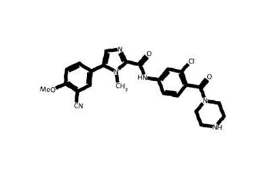 COc1ccc(-c2cnc(C(=O)Nc3ccc(C(=O)N4CCNCC4)c(Cl)c3)n2C)cc1C#N